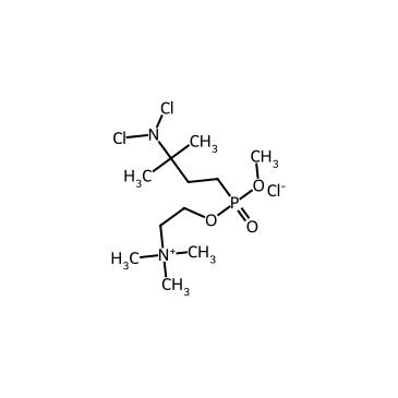 COP(=O)(CCC(C)(C)N(Cl)Cl)OCC[N+](C)(C)C.[Cl-]